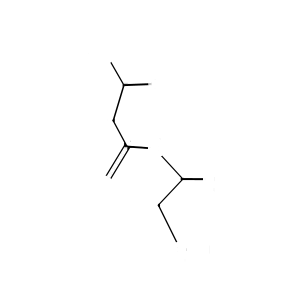 CCCCC(O)CC(=O)OC(CC)CC(=O)O